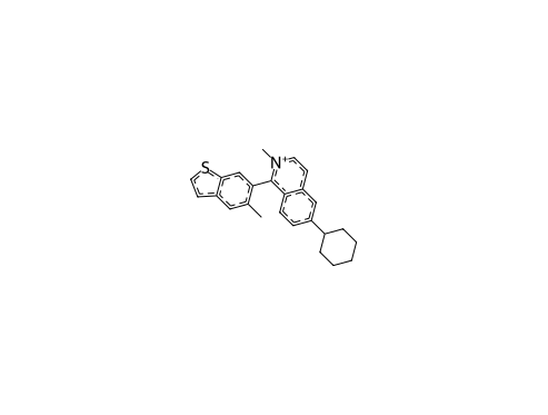 Cc1cc2ccsc2cc1-c1c2ccc(C3CCCCC3)cc2cc[n+]1C